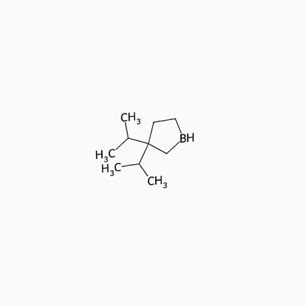 CC(C)C1(C(C)C)CBCC1